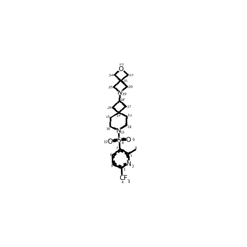 Cc1nc(C(F)(F)F)ccc1S(=O)(=O)N1CCC2(CC1)CC(N1CC3(COC3)C1)C2